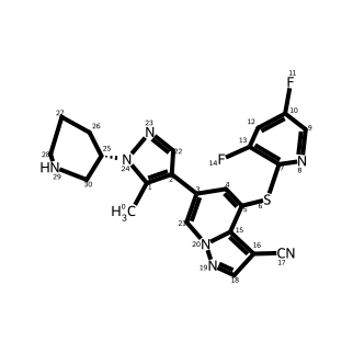 Cc1c(-c2cc(Sc3ncc(F)cc3F)c3c(C#N)cnn3c2)cnn1[C@H]1CCCNC1